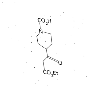 CCOC(=O)CC(=O)C1CCN(C(=O)O)CC1